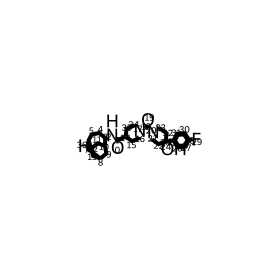 O=C(NC1CCC2CC3CC1C[C@@H]2C3)C1CCN(C(=O)N2CCC(O)(c3ccc(F)cc3)CC2)CC1